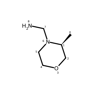 C[C@H]1COCCN1CN